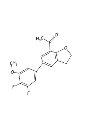 COc1cc(-c2cc3c(c(C(C)=O)c2)OCC3)cc(F)c1F